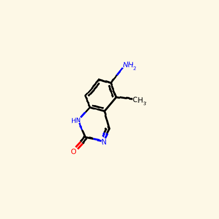 Cc1c(N)ccc2[nH]c(=O)ncc12